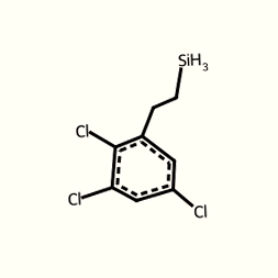 [SiH3]CCc1cc(Cl)cc(Cl)c1Cl